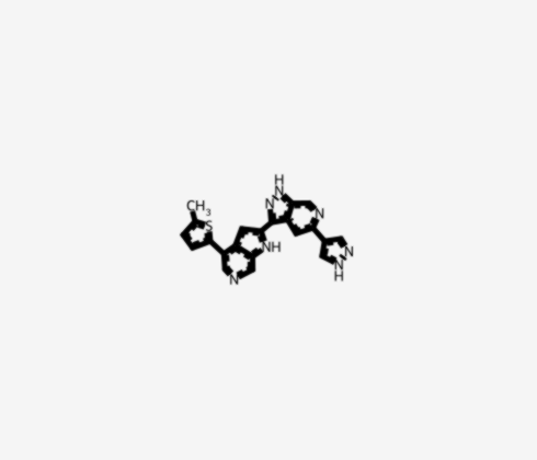 Cc1ccc(-c2cncc3[nH]c(-c4n[nH]c5cnc(-c6cn[nH]c6)cc45)cc23)s1